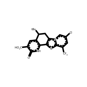 CC(C)(C)C1Cc2c(nc3c(C(F)(F)F)cc(Cl)cn23)-c2[nH]c(=O)c(C(=O)O)cc21